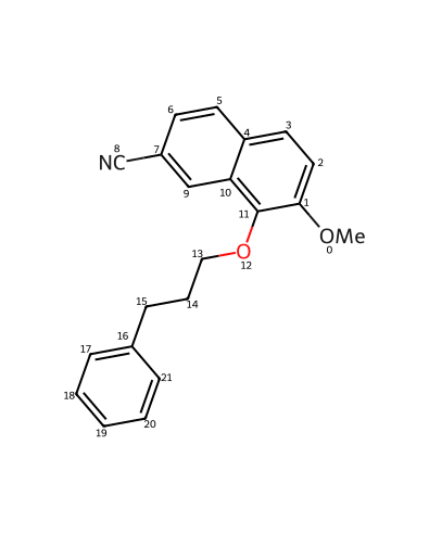 COc1ccc2ccc(C#N)cc2c1OCCCc1ccccc1